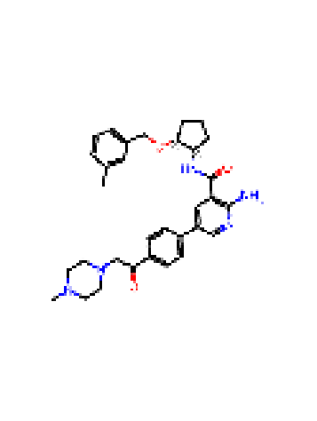 Cc1cccc(CO[C@H]2CCC[C@@H]2NC(=O)c2cc(-c3ccc(C(=O)CN4CCN(C)CC4)cc3)cnc2N)c1